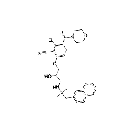 CC(C)(Cc1ccc2ccccc2c1)NC[C@@H](O)COc1ccc(C(=O)N2CCOCC2)c(Cl)c1C#N